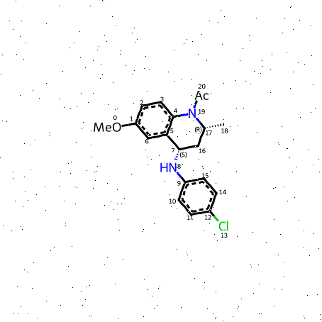 COc1ccc2c(c1)[C@@H](Nc1ccc(Cl)cc1)C[C@@H](C)N2C(C)=O